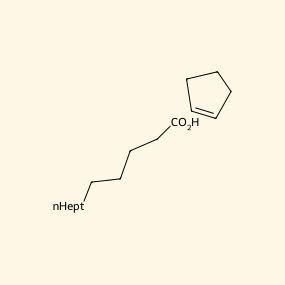 C1=CCCC1.CCCCCCCCCCCC(=O)O